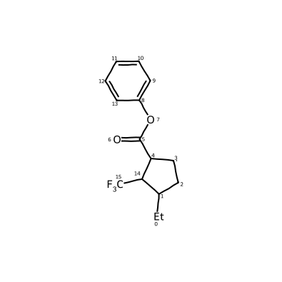 [CH2]CC1C[CH]C(C(=O)Oc2ccccc2)C1C(F)(F)F